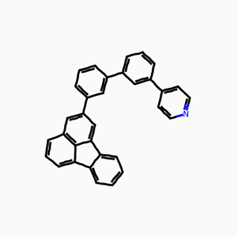 c1cc(-c2ccncc2)cc(-c2cccc(-c3cc4c5c(cccc5c3)-c3ccccc3-4)c2)c1